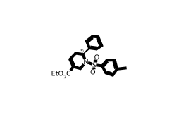 CCOC(=O)C1=CC[C@@H](c2ccccc2)N(S(=O)(=O)c2ccc(C)cc2)C1